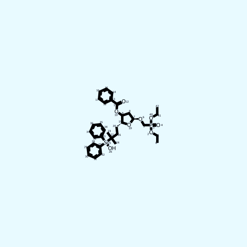 CCOP(=O)(CO[C@@H]1CC(OC(=O)c2ccccc2)[C@@H](CCC(C)(C)[Si](O)(c2ccccc2)c2ccccc2)O1)OCC